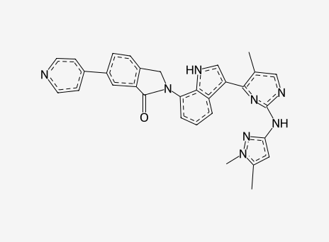 Cc1cnc(Nc2cc(C)n(C)n2)nc1-c1c[nH]c2c(N3Cc4ccc(-c5ccncc5)cc4C3=O)cccc12